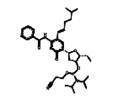 CC[C@H]1O[C@@H](n2cc(/C=C/CCC(C)C)c(NC(=O)c3ccccc3)nc2=O)CC1OP(OCCC#N)N(C(C)C)C(C)C